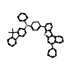 CC1(C)c2ccccc2-c2ccc(N(C3=CC=C(c4cccc5c4oc4cc(-c6ccccc6)c6ccccc6c45)CC3)c3ccccc3)cc21